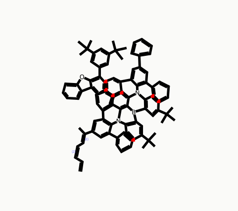 C=C/C=C\C=C(/C)c1cc(-c2ccccc2)c(N2c3ccc(C(C)(C)C)cc3B3c4cc(C(C)(C)C)ccc4N(c4c(-c5ccccc5)cc(-c5ccccc5)cc4-c4ccccc4)c4cc(-c5cc(-c6cc(C(C)(C)C)cc(C(C)(C)C)c6)c6oc7ccccc7c6c5)cc2c43)c(-c2ccccc2)c1